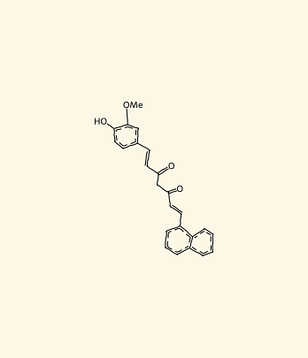 COc1cc(C=CC(=O)CC(=O)C=Cc2cccc3ccccc23)ccc1O